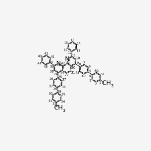 Cc1ccc(-c2ccc(-c3cc(-c4ccccc4)nc4c3ccc3c(-c5ccc(-c6ccc(C)cc6)cc5)cc(-c5ccccc5)nc34)cc2)cc1